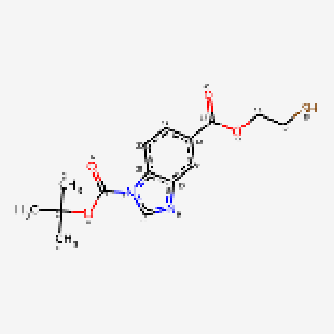 CC(C)(C)OC(=O)n1cnc2cc(C(=O)OCCS)ccc21